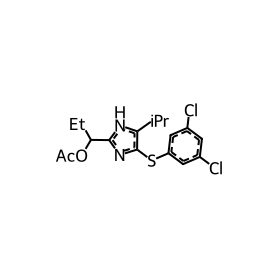 CCC(OC(C)=O)c1nc(Sc2cc(Cl)cc(Cl)c2)c(C(C)C)[nH]1